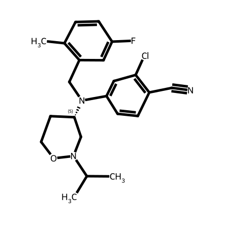 Cc1ccc(F)cc1CN(c1ccc(C#N)c(Cl)c1)[C@H]1CCON(C(C)C)C1